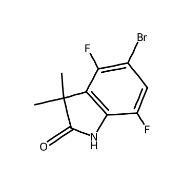 CC1(C)C(=O)Nc2c(F)cc(Br)c(F)c21